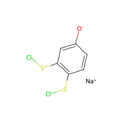 [Na+].[O-]c1ccc(SCl)c(SCl)c1